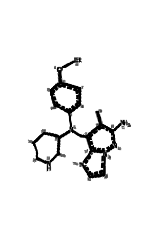 CCOc1ccc(N(c2c(C)c(N)nn3ccnc23)C2CCCNC2)cc1